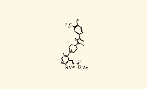 CNc1ncnc(N2CCC(c3nc(-c4ccc(F)c(C(F)(F)F)c4)cn3C)CC2)c1/C=C/C(=O)OC